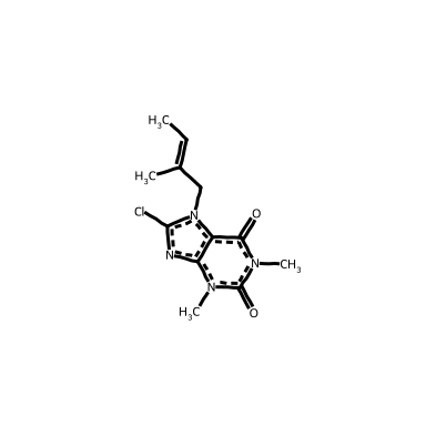 C/C=C(\C)Cn1c(Cl)nc2c1c(=O)n(C)c(=O)n2C